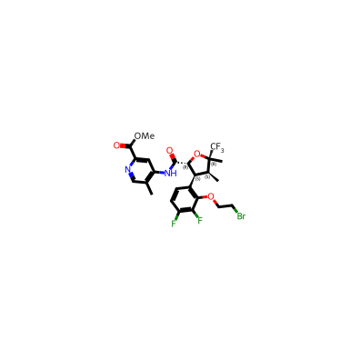 COC(=O)c1cc(NC(=O)[C@@H]2O[C@@](C)(C(F)(F)F)[C@@H](C)[C@H]2c2ccc(F)c(F)c2OCCBr)c(C)cn1